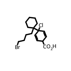 O=C(O)C1C=CC(Cl)(C2(CCCCBr)CCCCC2)C=C1